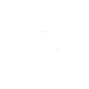 CCCC(C)C[C@@](C)(N)CC(=O)O